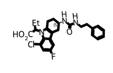 CCC(C(=O)O)n1c2c(c3cc(F)cc(Cl)c31)C[C@@H](NC(=O)NCCc1ccccc1)CC2